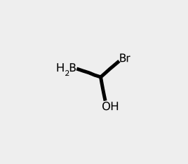 BC(O)Br